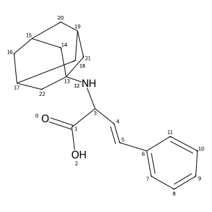 O=C(O)C(/C=C/c1ccccc1)NC12CC3CC(CC(C3)C1)C2